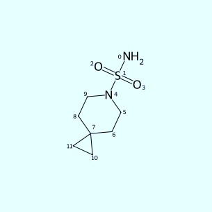 NS(=O)(=O)N1CCC2(CC1)CC2